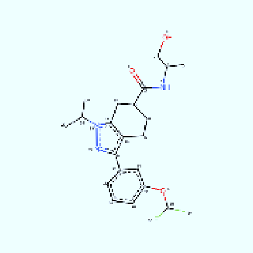 CC(CO)NC(=O)C1CCc2c(-c3cccc(OC(F)F)c3)nn(C(C)C)c2C1